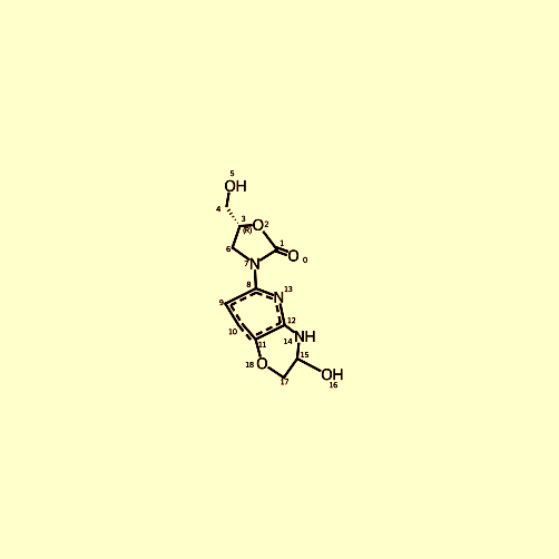 O=C1O[C@@H](CO)CN1c1ccc2c(n1)NC(O)CO2